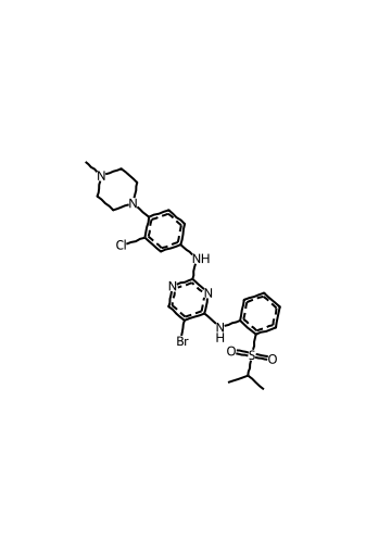 CC(C)S(=O)(=O)c1ccccc1Nc1nc(Nc2ccc(N3CCN(C)CC3)c(Cl)c2)ncc1Br